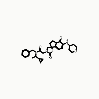 CC(C1CC1)N(Cc1ccccc1)C(=O)CN1CC2(CCC3C(=O)C(NC4CCOCC4)=CC=C32)OC1=O